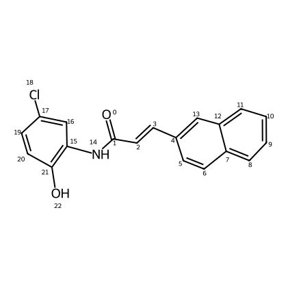 O=C(/C=C/c1ccc2ccccc2c1)Nc1cc(Cl)ccc1O